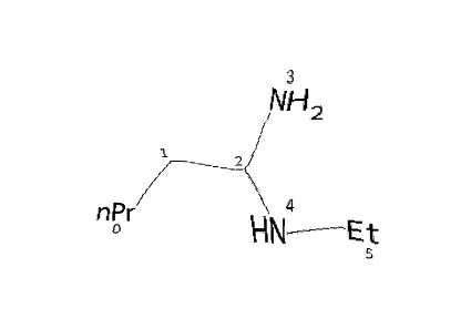 CCCCC(N)NCC